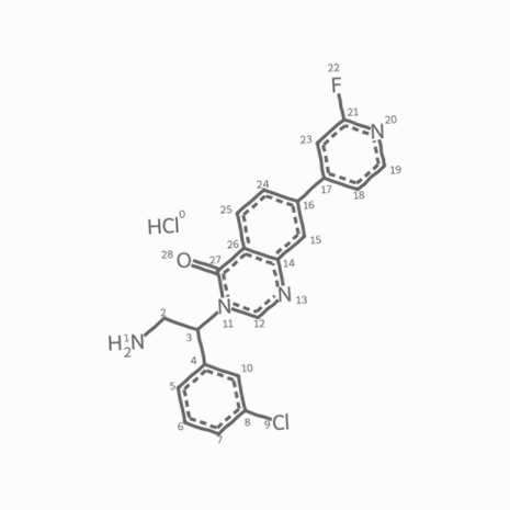 Cl.NCC(c1cccc(Cl)c1)n1cnc2cc(-c3ccnc(F)c3)ccc2c1=O